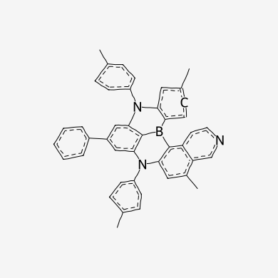 Cc1ccc(N2c3cc(C)ccc3B3c4c2cc(-c2ccccc2)cc4N(c2ccc(C)cc2)c2cc(C)c4cnccc4c23)cc1